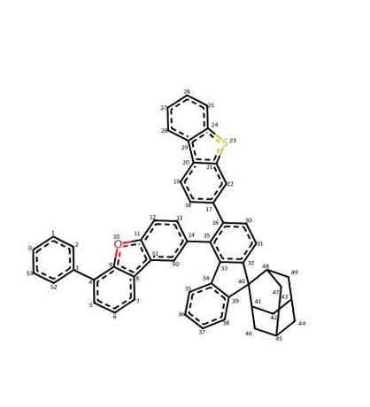 c1ccc(-c2cccc3c2oc2ccc(-c4c(-c5ccc6c(c5)sc5ccccc56)ccc5c4-c4ccccc4C54C5CC6CC(C5)CC4C6)cc23)cc1